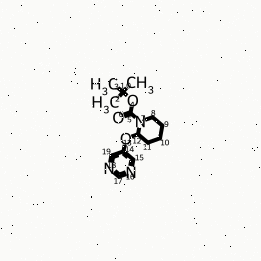 CC(C)(C)OC(=O)N1CCCCC1Oc1cncnc1